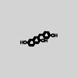 Oc1ccc(Cc2cc3cc(O)ccc3cc2O)cc1